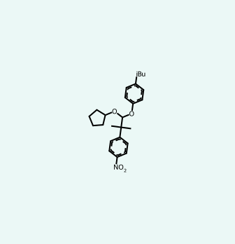 CCC(C)c1ccc(OC(OC2CCCC2)C(C)(C)c2ccc([N+](=O)[O-])cc2)cc1